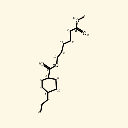 CCCC1CCC(C(=O)OCCCCCC(=O)OC)CC1